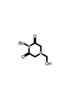 CCC(C)N1C(=O)CN(CO)CC1=O